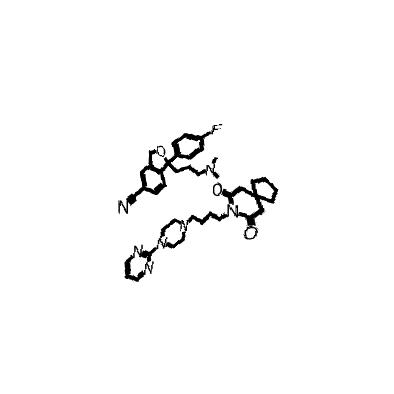 CN(C)CCCC1(c2ccc(F)cc2)OCc2cc(C#N)ccc21.O=C1CC2(CCCC2)CC(=O)N1CCCCN1CCN(c2ncccn2)CC1